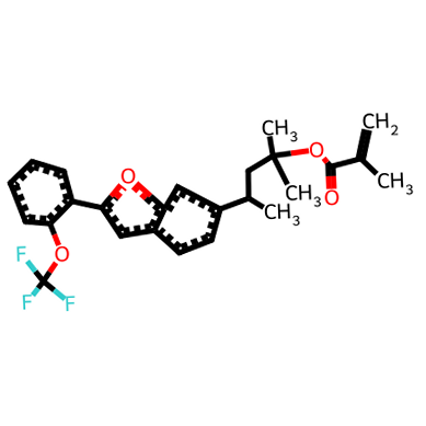 C=C(C)C(=O)OC(C)(C)CC(C)c1ccc2cc(-c3ccccc3OC(F)(F)F)oc2c1